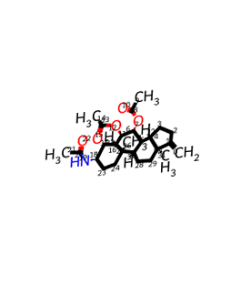 C=C1CC[C@H]2C3[C@@H](OC(C)=O)[C@H](OC(C)=O)[C@H]4C[C@@H](NC(C)=O)CC[C@]4(C)[C@H]3CC[C@]12C